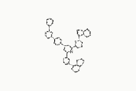 c1ccc(-c2cccc(-c3ccc(-c4cc(-c5cccc(-c6cccc7ccccc67)c5)nc(-c5cccc(-c6cccc7ccccc67)c5)c4)cc3)c2)cc1